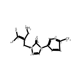 NCC(Cn1ncn(-c2ccc(C(F)(F)F)nc2)c1=O)=C(F)F